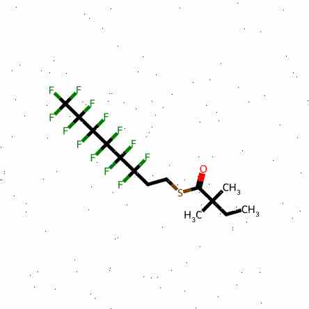 CCC(C)(C)C(=O)SCCC(F)(F)C(F)(F)C(F)(F)C(F)(F)C(F)(F)C(F)(F)F